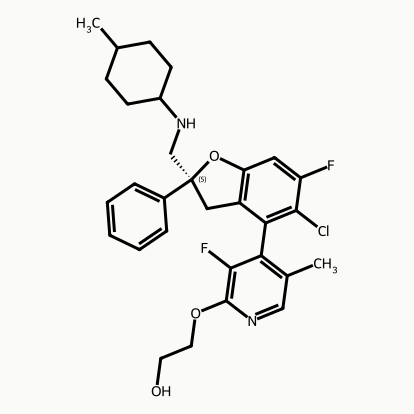 Cc1cnc(OCCO)c(F)c1-c1c(Cl)c(F)cc2c1C[C@@](CNC1CCC(C)CC1)(c1ccccc1)O2